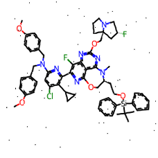 COc1ccc(CN(Cc2ccc(OC)cc2)c2cc(Cl)c(C3CC3)c(-c3nc4c5c(nc(OC[C@@]67CCCN6C[C@H](F)C7)nc5c3F)N(C)[C@@H](CCO[Si](c3ccccc3)(c3ccccc3)C(C)(C)C)CO4)n2)cc1